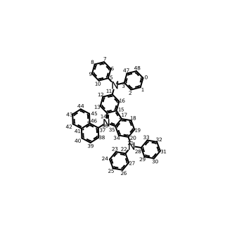 c1ccc(N(c2ccccc2)c2ccc3c(c2)c2ccc(N(c4ccccc4)c4ccccc4)cc2n3-c2cccc3ccccc23)cc1